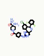 NC(=O)C1(N)CCN(C(=O)c2ccc(Nc3ncc4c(n3)-c3ccc(Cl)cc3C(c3c(F)cccc3F)=NC4)cc2)CC1